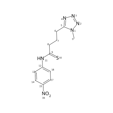 Cn1nnnc1CCCC(=S)Nc1ccc([N+](=O)[O-])cc1